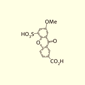 COc1cc(S(=O)(=O)O)c2oc3ccc(C(=O)O)cc3c(=O)c2c1